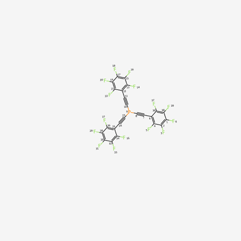 Fc1c(F)c(F)c(C#CP(C#Cc2c(F)c(F)c(F)c(F)c2F)C#Cc2c(F)c(F)c(F)c(F)c2F)c(F)c1F